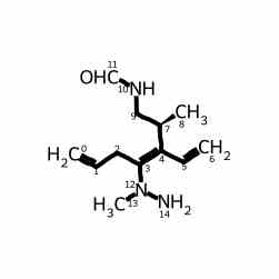 C=CC/C(=C(/C=C)[C@H](C)CNC=O)N(C)N